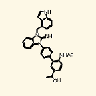 CC(=O)Nc1ccc(C(C)O)cc1-c1ccc(-n2c(=N)n(Cc3cccc4[nH]ccc34)c3ccccc32)cc1